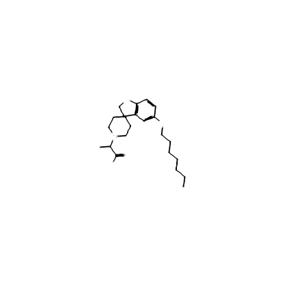 CCCCCCCOc1ccc2c(c1)C1(CCN(C(C)C(=O)O)CC1)CO2